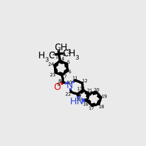 CC(C)(C)c1ccc(C(=O)N2CCc3c([nH]c4ccccc34)C2)cc1